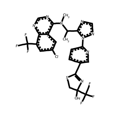 CC(c1ncnn1-c1ccc(C2=NC(O)(C(F)(F)F)CS2)cn1)N(C)c1ncnc2c(C(F)(F)F)cc(Cl)cc12